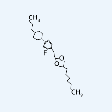 CCCCCCCC1COC(CCc2ccc([C@H]3CC[C@H](CCCC)CC3)cc2F)OC1